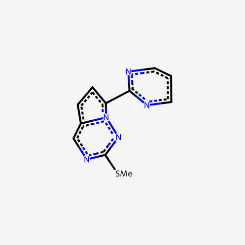 CSc1ncc2ccc(-c3ncccn3)n2n1